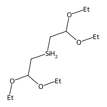 CCOC(C[SiH2]CC(OCC)OCC)OCC